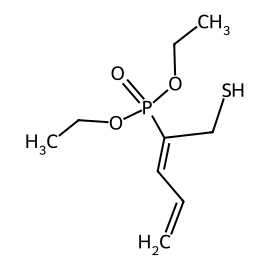 C=C/C=C(\CS)P(=O)(OCC)OCC